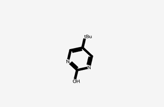 CC(C)(C)c1cnc(O)nc1